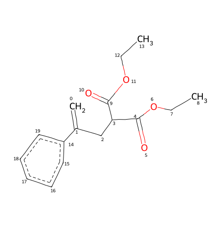 C=C(CC(C(=O)OCC)C(=O)OCC)c1ccccc1